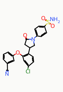 N#Cc1cccc(Oc2cc(Cl)ccc2C2CC(=O)N(c3ccc(S(N)(=O)=O)cc3)C2)c1